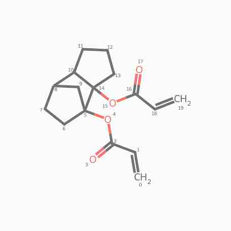 C=CC(=O)OC12CCC(C1)C1CCCC12OC(=O)C=C